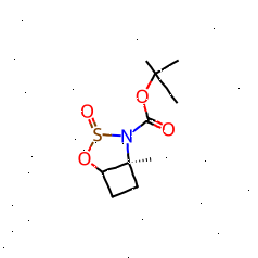 CC(C)(C)OC(=O)N1S(=O)OC2CC[C@@]21C